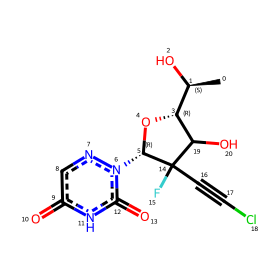 C[C@H](O)[C@H]1O[C@@H](n2ncc(=O)[nH]c2=O)C(F)(C#CCl)C1O